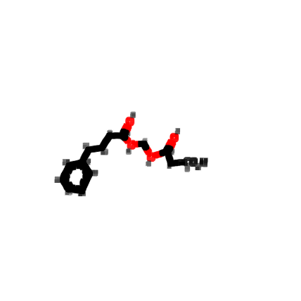 O=C(O)CC(=O)OCOC(=O)CCCc1ccccc1